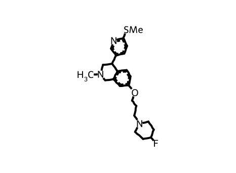 CSc1ccc(C2CN(C)Cc3cc(OCCCN4CCC(F)CC4)ccc32)cn1